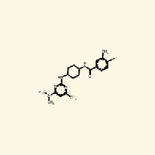 Cc1cc([As](C)C)nc(NC2CCC(NC(=O)c3ccc(Br)c(C)c3)CC2)n1